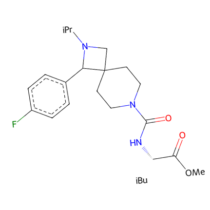 CC[C@H](C)[C@H](NC(=O)N1CCC2(CC1)CN(C(C)C)C2c1ccc(F)cc1)C(=O)OC